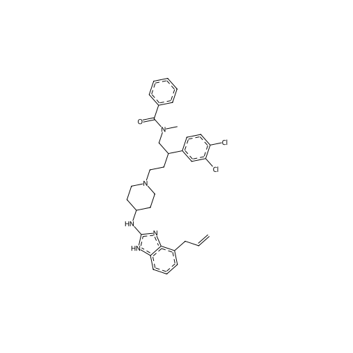 C=CCc1cccc2[nH]c(NC3CCN(CCC(CN(C)C(=O)c4ccccc4)c4ccc(Cl)c(Cl)c4)CC3)nc12